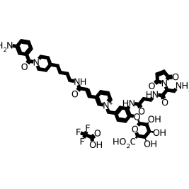 NCC(C(=O)NCCC(=O)Nc1cc(C[n+]2cccc(/C=C/C(=O)NCCCCC3CCN(C(=O)c4cccc(N)c4)CC3)c2)ccc1O[C@@H]1O[C@H](C(=O)O)[C@@H](O)[C@H](O)[C@H]1O)N1C(=O)C=CC1=O.O=C(O)C(F)(F)F